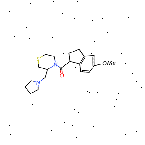 COc1ccc2c(c1)CCC2C(=O)N1CCSCC1CN1CCCC1